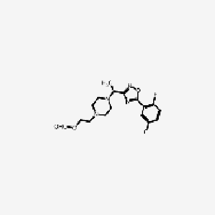 C[C@@H](c1noc(-c2cc(Cl)ccc2F)n1)N1CCN(CCOC=O)CC1